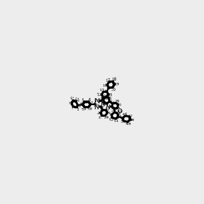 c1ccc(-c2ccc(-c3nc(-c4ccc(-c5ccccc5)cc4)nc(-c4ccccc4-n4c5ccccc5c5ccc6oc7c(-c8ccccc8)cccc7c6c54)n3)cc2)cc1